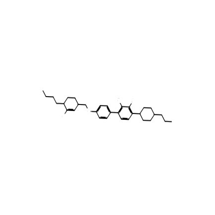 CCCCC1CCC(COc2ccc(-c3ccc(C4CCC(CCC)CC4)c(F)c3F)cc2)C=C1F